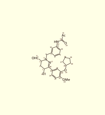 CCC1CC(C=O)N(Cc2cccc(NC(=O)C(C)=O)c2)N=C1c1ccc(OC)c(OC2CCCC2)c1